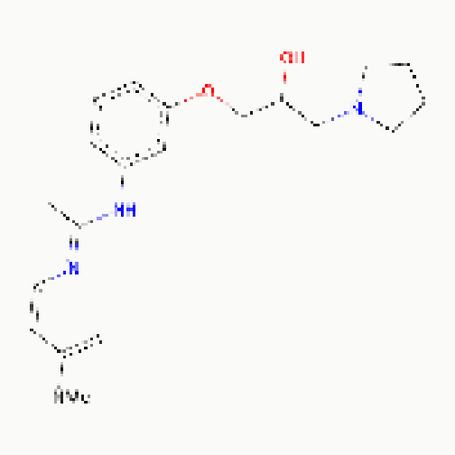 C=C(/C=C\N=C(/C)Nc1cccc(OCC(O)CN2CCCC2)c1)NC